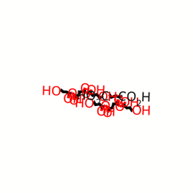 O=C(CCC(=O)OC(O)CCCO)OC(O)CCCO.O=C(CCC(=O)OC(O)CCCO)OC(O)CCCO.O=C(O)CCCCC(=O)O